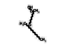 CCCCCCCCCCCCC(CCC)OCCCCCCCCC(C)OCCO